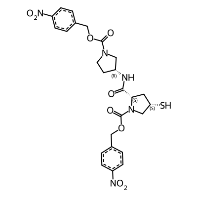 O=C(N[C@@H]1CCN(C(=O)OCc2ccc([N+](=O)[O-])cc2)C1)[C@@H]1C[C@H](S)CN1C(=O)OCc1ccc([N+](=O)[O-])cc1